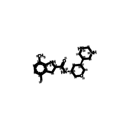 Cc1ccc(F)c2c1NC(C(=O)N[C@H]1COC[C@H](C3CNCNC3)C1)C2